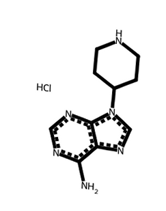 Cl.Nc1ncnc2c1ncn2C1CCNCC1